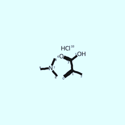 C=C(C)C(=O)O.CN(C)C.Cl